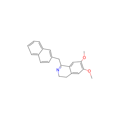 COc1cc2c(cc1OC)C(Cc1ccc3ccccc3c1)=NCC2